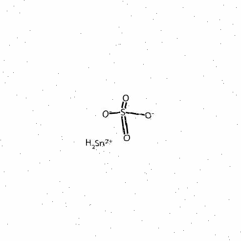 O=S(=O)([O-])[O-].[SnH2+2]